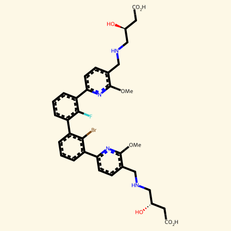 COc1nc(-c2cccc(-c3cccc(-c4ccc(CNC[C@@H](O)CC(=O)O)c(OC)n4)c3Br)c2F)ccc1CNC[C@@H](O)CC(=O)O